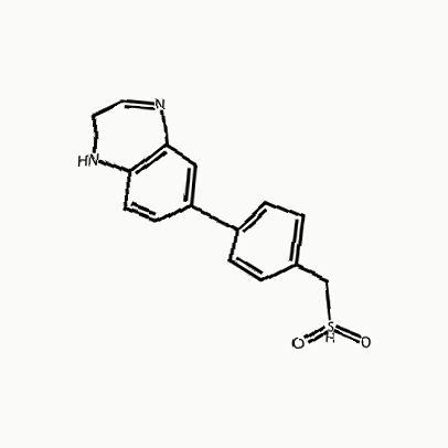 O=[SH](=O)Cc1ccc(-c2ccc3c(c2)N=CCN3)cc1